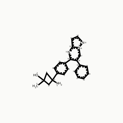 CC1(O)CC(N)(c2ccc(-c3nc4ccnn4cc3-c3ccccc3)cc2)C1